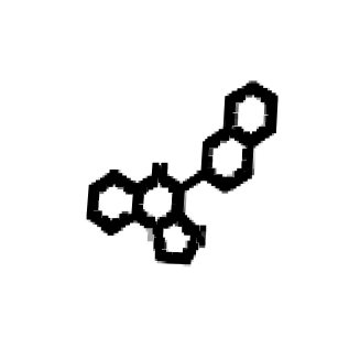 c1ccc2cc(-c3nc4ccccc4n4ccnc34)ccc2c1